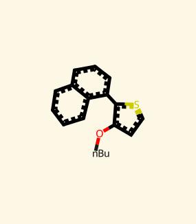 CCCCOc1ccsc1-c1cccc2ccccc12